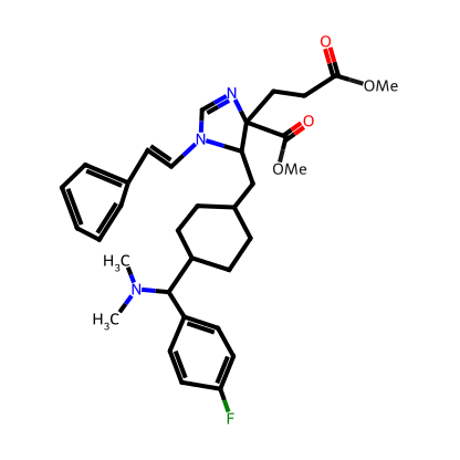 COC(=O)CCC1(C(=O)OC)N=CN(C=Cc2ccccc2)C1CC1CCC(C(c2ccc(F)cc2)N(C)C)CC1